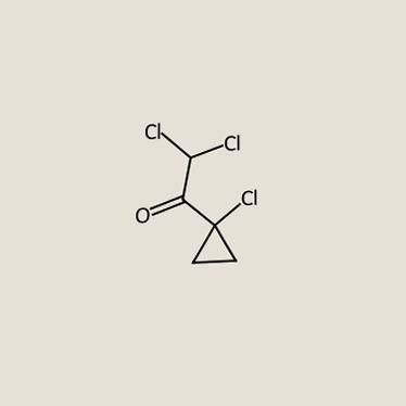 O=C(C(Cl)Cl)C1(Cl)CC1